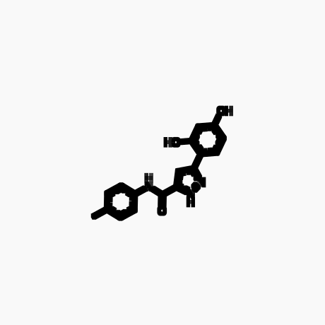 Cc1ccc(NC(=O)c2cc(-c3ccc(O)cc3O)n[nH]2)cc1